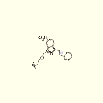 C[Si](C)(C)CCOCn1nc(/C=C/c2ccccc2)c2ccc([N+](=O)[O-])cc21